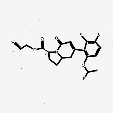 O=CCOC(=O)[C@@H]1CCC2CC(c3c(OC(F)F)ccc(Cl)c3F)=CC(=O)N21